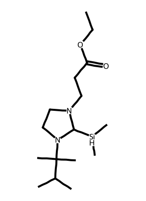 CCOC(=O)CCN1CCN(C(C)(C)C(C)C)C1[SiH](C)C